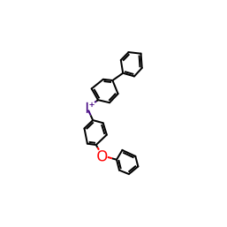 c1ccc(Oc2ccc([I+]c3ccc(-c4ccccc4)cc3)cc2)cc1